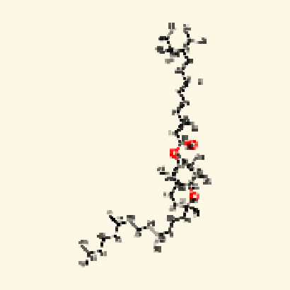 CC1=C(/C=C/C(C)=C/C=C/C(C)=C/C(=O)Oc2c(C)c(C)c3c(c2C)CC[C@@](C)(CCC[C@H](C)CCC[C@H](C)CCCC(C)C)O3)C(C)(C)CCC1